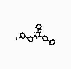 Brc1cccc(-c2cccc(-c3nc(-c4ccc(-c5ccccc5)cc4)c4sc5ccccc5c4n3)c2)c1